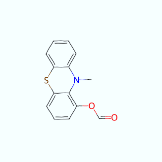 CN1c2ccccc2Sc2cccc(OC=O)c21